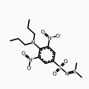 CCCN(CCC)c1c([N+](=O)[O-])cc(S(=O)(=O)N=S(C)C)cc1[N+](=O)[O-]